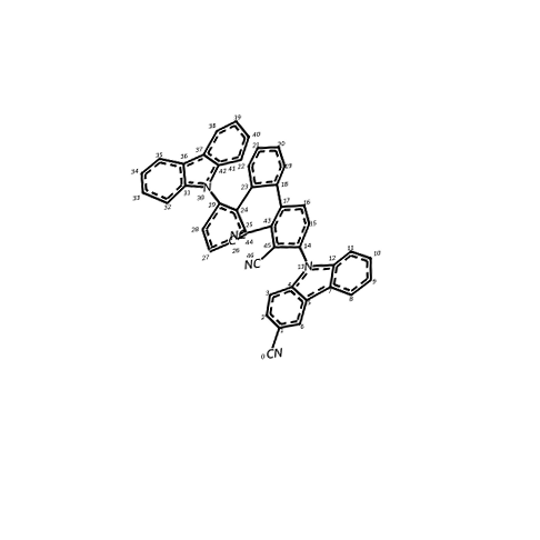 N#Cc1ccc2c(c1)c1ccccc1n2-c1ccc(-c2ccccc2-c2ccccc2-n2c3ccccc3c3ccccc32)c(C#N)c1C#N